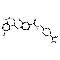 COCC(Nc1ccc(C(=O)NCC2CCC(C(=O)OC)CC2)cc1Cl)c1cc(Br)ccc1OC